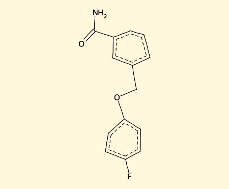 NC(=O)c1cccc(COc2ccc(F)cc2)c1